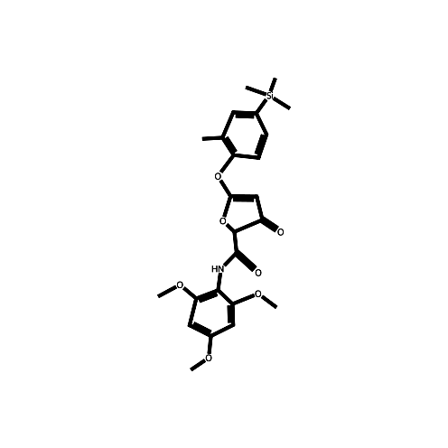 COc1cc(OC)c(NC(=O)C2OC(Oc3ccc([Si](C)(C)C)cc3C)=CC2=O)c(OC)c1